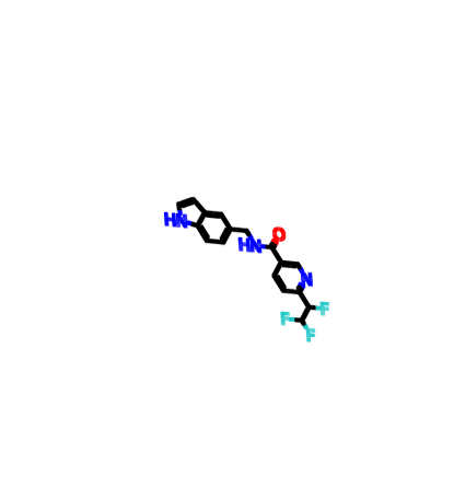 O=C(NCc1ccc2[nH]ccc2c1)c1ccc(C(F)C(F)F)nc1